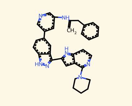 C=C(Cc1ccccc1)Nc1cncc(-c2ccc3[nH]nc(-c4cc5c(N6CCCCC6)nccc5[nH]4)c3c2)c1